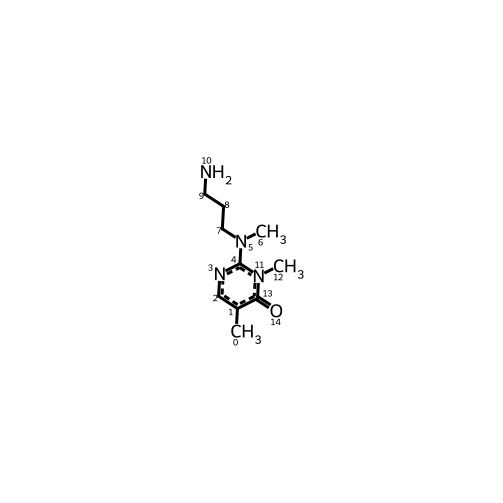 Cc1cnc(N(C)CCCN)n(C)c1=O